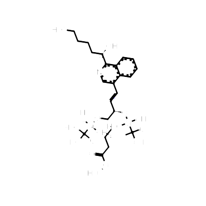 CCCCC[C@@H](O)c1ncc(/C=C/[C@@H](O[Si](C)(C)C(C)(C)C)[C@H](CCCC(=O)OC)O[Si](C)(C)C(C)(C)C)c2ccccc12